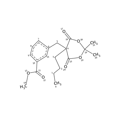 CCCCC1(Cc2cccc(C(=O)OC)c2)C(=O)OC(C)(C)OC1=O